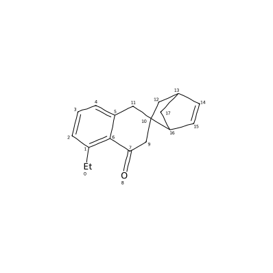 CCc1cccc2c1C(=O)CC1(C2)CC2C=CC1C2